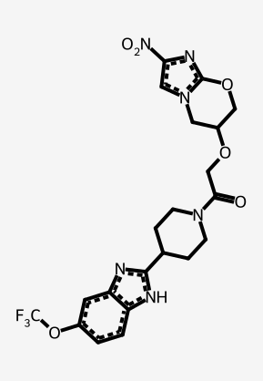 O=C(COC1COc2nc([N+](=O)[O-])cn2C1)N1CCC(c2nc3cc(OC(F)(F)F)ccc3[nH]2)CC1